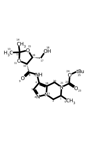 CC1Cn2ncc(NC(=O)[C@@H]3OC(C)(C)O[C@@H]3CO)c2CN1C(=O)OC(C)(C)C